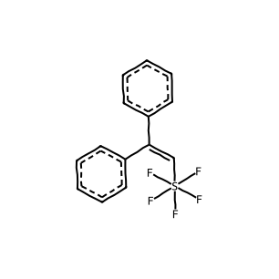 FS(F)(F)(F)(F)C=C(c1ccccc1)c1ccccc1